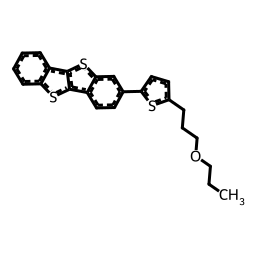 CCCOCCCc1ccc(-c2ccc3c(c2)sc2c4ccccc4sc32)s1